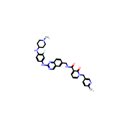 CN1CCC(Nc2ccc(Nc3ncc4cc(CNC(=O)c5cccn(Cc6ccc(C(F)(F)F)nc6)c5=O)ccc4n3)cc2F)CC1